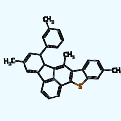 CC1=CC(c2cccc(C)c2)C2C(=C1)c1cccc3c1c2c(C)c1c2ccc(C)cc2sc31